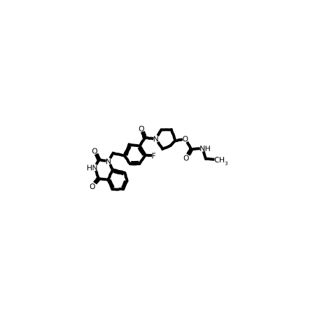 CCNC(=O)OC1CCN(C(=O)c2cc(Cn3c(=O)[nH]c(=O)c4ccccc43)ccc2F)CC1